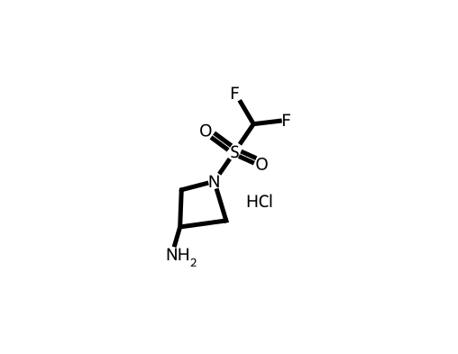 Cl.NC1CN(S(=O)(=O)C(F)F)C1